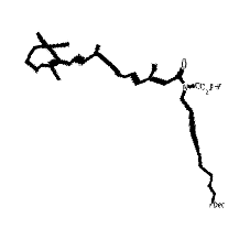 CCCCCCCCCCCCCCCCCCN(C(=O)O)C(=O)/C=C(C)/C=C/C=C(C)/C=C/C1=C(C)CCCC1(C)C